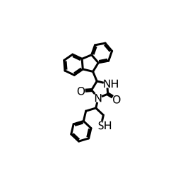 O=C1NC(C2c3ccccc3-c3ccccc32)C(=O)N1C(CS)Cc1ccccc1